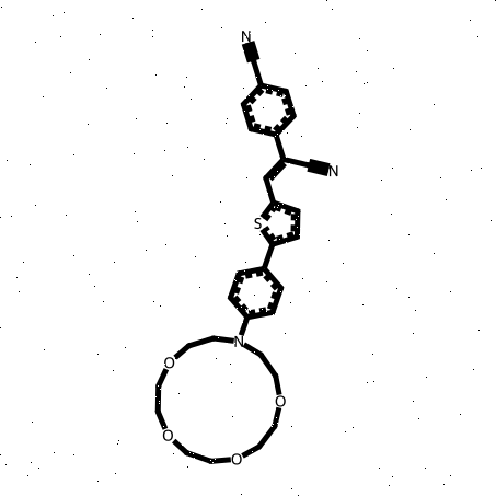 N#C/C(=C\c1ccc(-c2ccc(N3CCOCCOCCOCCOCC3)cc2)s1)c1ccc(C#N)cc1